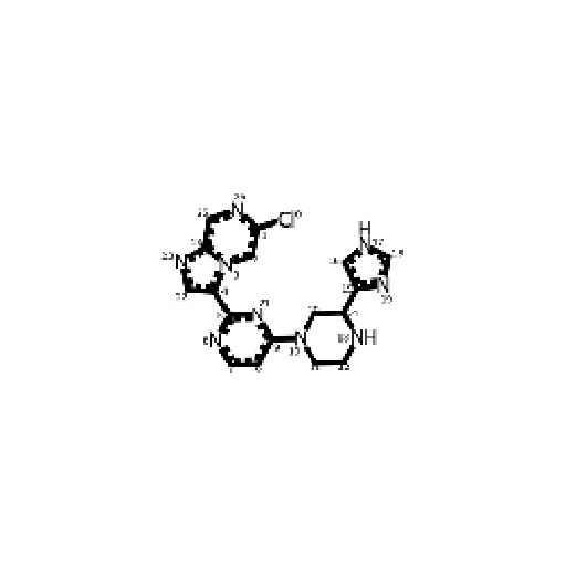 Clc1cn2c(-c3nccc(N4CCNC(c5c[nH]cn5)C4)n3)cnc2cn1